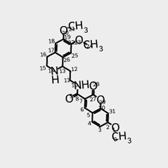 COc1ccc2cc(C(=O)NCCC3NCCc4cc(OC)c(OC)cc43)c(=O)oc2c1